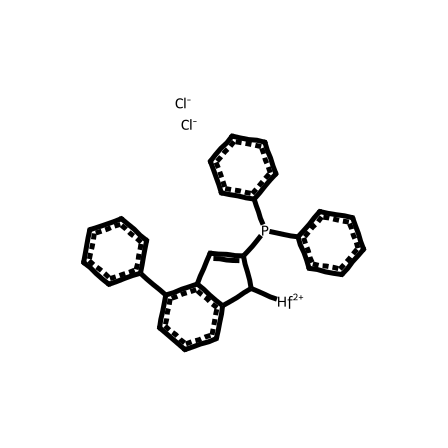 [Cl-].[Cl-].[Hf+2][CH]1C(P(c2ccccc2)c2ccccc2)=Cc2c(-c3ccccc3)cccc21